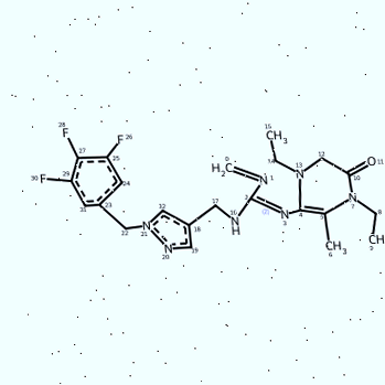 C=N/C(=N\C1=C(C)N(CC)C(=O)CN1CC)NCc1cnn(Cc2cc(F)c(F)c(F)c2)c1